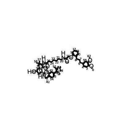 COc1ccc(CC[CH]c2ccccc2OCC(=O)NCCCCCCC(=O)N[C@H](C(=O)N2C[C@H](O)C[C@H]2C(=O)N[C@@H](C)c2ccc(-c3scnc3C)cc2)C(C)(C)C)cc1OC